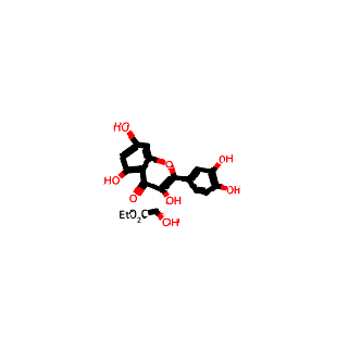 CCOC(=O)CO.O=c1c(O)c(-c2ccc(O)c(O)c2)oc2cc(O)cc(O)c12